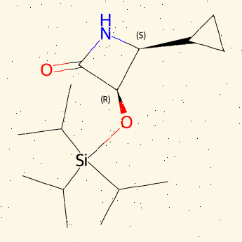 CC(C)[Si](O[C@H]1C(=O)N[C@H]1C1CC1)(C(C)C)C(C)C